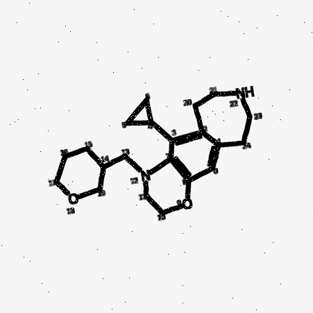 c1c2c(c(C3CC3)c3c1OCCN3CC1CCCOC1)CCNCC2